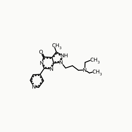 CCN(CC)CCCn1[nH]c(C)c2c(=O)nc(-c3ccncc3)nc1-2